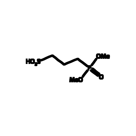 COP(=O)(CCCS(=O)(=O)O)OC